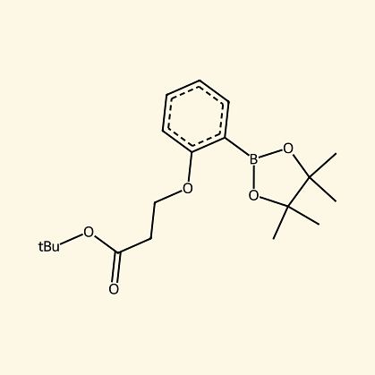 CC(C)(C)OC(=O)CCOc1ccccc1B1OC(C)(C)C(C)(C)O1